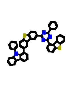 c1ccc(-c2nc(-c3ccc4sc5ccc(-c6cccc7c8ccccc8n(-c8ccccc8)c67)cc5c4c3)nc(-c3cccc4sc5ccccc5c34)n2)cc1